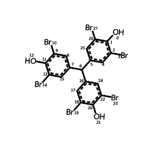 Oc1c(Br)cc(C(c2cc(Br)c(O)c(Br)c2)c2cc(Br)c(O)c(Br)c2)cc1Br